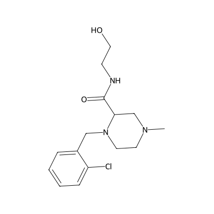 CN1CCN(Cc2ccccc2Cl)C(C(=O)NCCO)C1